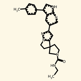 CCNC(=O)N1CCC2(CCn3nc(-c4cnc5[nH]cc(-c6ccc(C)cc6)c5c4)cc32)C1